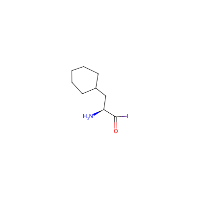 N[C@@H](CC1CCCCC1)C(=O)I